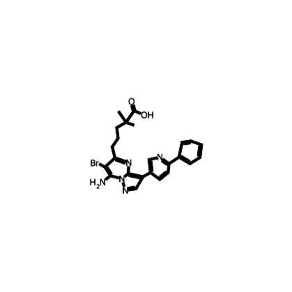 CC(C)(CCCc1nc2c(-c3ccc(-c4ccccc4)nc3)cnn2c(N)c1Br)C(=O)O